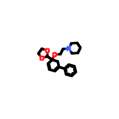 C1=CC(OCCN2CCCCC2)(C2OCCO2)CC(c2ccccc2)=C1